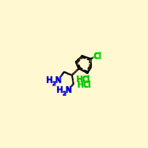 Cl.Cl.NCC(CN)c1ccc(Cl)cc1